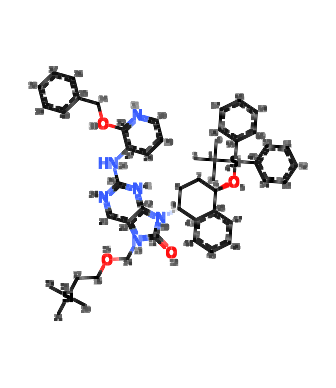 CC(C)(C)[Si](O[C@@H]1CC[C@@H](n2c(=O)n(COCC[Si](C)(C)C)c3cnc(Nc4cccnc4OCc4ccccc4)nc32)c2ccccc21)(c1ccccc1)c1ccccc1